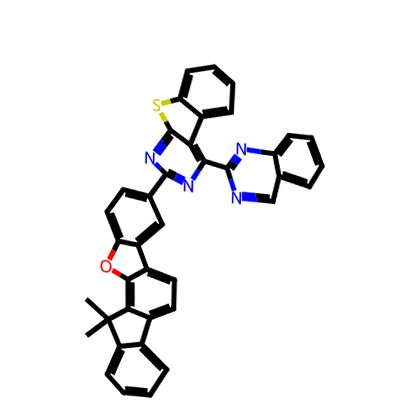 CC1(C)c2ccccc2-c2ccc3c(oc4ccc(-c5nc(-c6ncc7ccccc7n6)c6c(n5)sc5ccccc56)cc43)c21